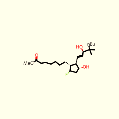 CCCCC(C)(C)[C@H](O)/C=C/[C@@H]1[C@@H](CCCCCCC(=O)OC)[C@H](F)C[C@H]1O